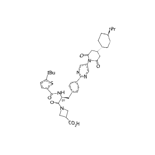 CCC[C@H]1CC[C@H](C2CC(=O)N(c3cnc(-c4ccc(C[C@H](NC(=O)c5ccc(C(C)(C)C)s5)C(=O)N5CC(C(=O)O)C5)cc4)nc3)C(=O)C2)CC1